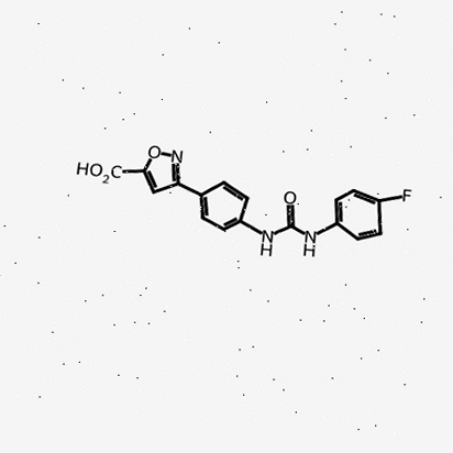 O=C(Nc1ccc(F)cc1)Nc1ccc(-c2cc(C(=O)O)on2)cc1